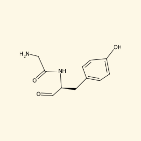 NCC(=O)N[C@H](C=O)Cc1ccc(O)cc1